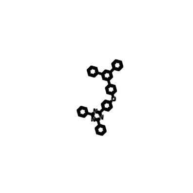 c1ccc(-c2cc(-c3ccccc3)cc(-c3ccc(Oc4ccc(-c5nc(-c6ccccc6)nc(-c6ccccc6)n5)cc4)cc3)c2)cc1